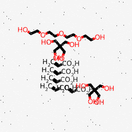 C=CC(=O)O.C=CC(=O)O.C=CC(=O)O.C=CC(=O)O.C=CC(=O)O.OCC(CO)(CO)CO.OCC(CO)(CO)CO.OCCOCCOCCOCCO